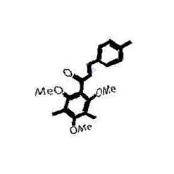 COc1c(C)c(OC)c(C(=O)/C=C/c2ccc(C)cc2)c(OC)c1C